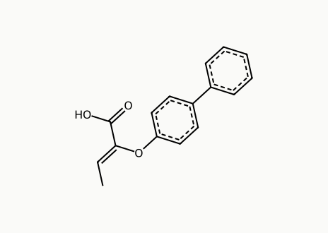 C/C=C(\Oc1ccc(-c2ccccc2)cc1)C(=O)O